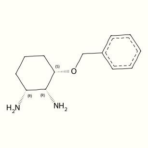 N[C@@H]1[C@H](N)CCC[C@@H]1OCc1ccccc1